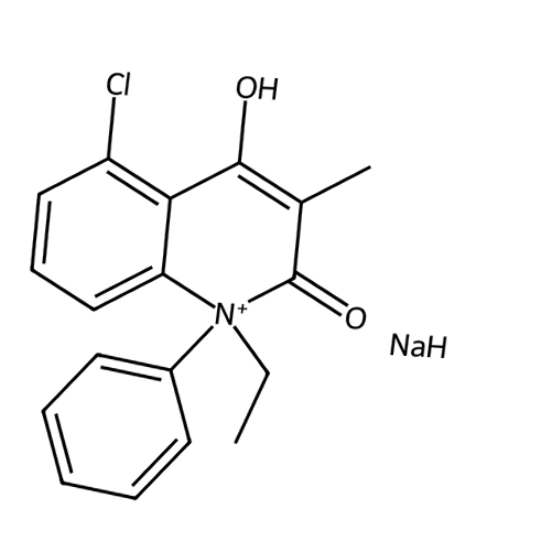 CC[N+]1(c2ccccc2)C(=O)C(C)=C(O)c2c(Cl)cccc21.[NaH]